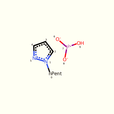 CCCCCn1cccn1.[O-][I+2]([O-])O